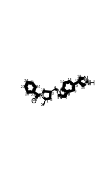 C[C@@H]1C[C@H](Cn2ncc3cc(-c4cn[nH]c4)ccc32)CN1C(=O)c1ccccc1